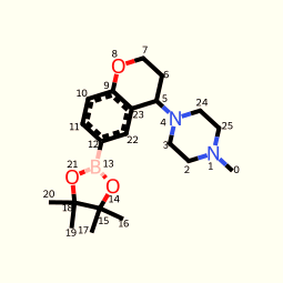 CN1CCN(C2CCOc3ccc(B4OC(C)(C)C(C)(C)O4)cc32)CC1